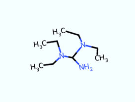 CCN(CC)C(N)N(CC)CC